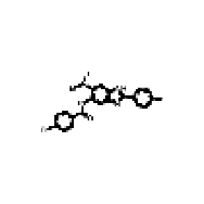 CCN(CC)c1cc2[nH]c(-c3ccc(C)cc3)nc2cc1NC(=O)c1ccc(Br)cc1